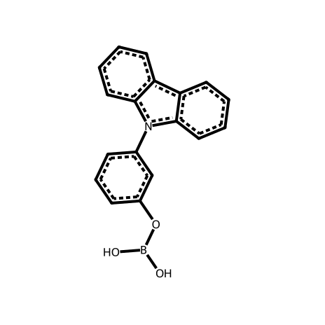 OB(O)Oc1cccc(-n2c3ccccc3c3ccccc32)c1